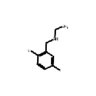 CCNCc1cc(I)ccc1Cl